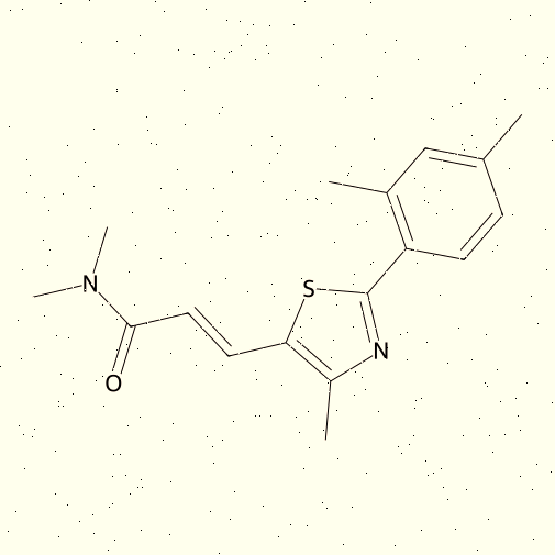 Cc1ccc(-c2nc(C)c(C=CC(=O)N(C)C)s2)c(C)c1